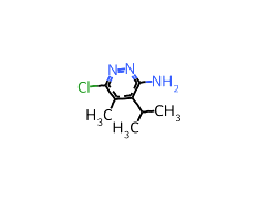 Cc1c(Cl)nnc(N)c1C(C)C